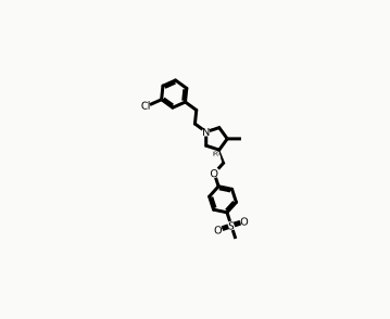 CC1CN(CCc2cccc(Cl)c2)C[C@@H]1COc1ccc(S(C)(=O)=O)cc1